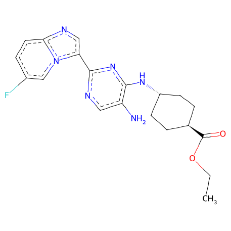 CCOC(=O)[C@H]1CC[C@H](Nc2nc(-c3cnc4ccc(F)cn34)ncc2N)CC1